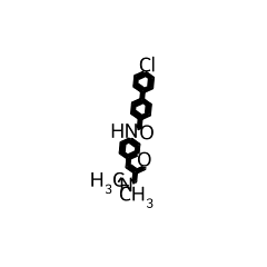 CN(C)CC1=Cc2ccc(NC(=O)c3ccc(-c4ccc(Cl)cc4)cc3)cc2OC1